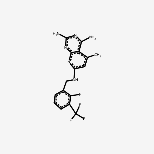 Cc1cc(NCc2cccc(C(F)(F)F)c2F)nc2nc(N)nc(N)c12